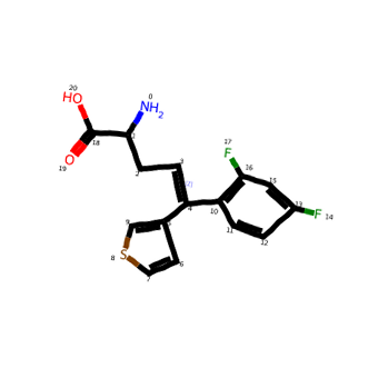 NC(C/C=C(\c1ccsc1)c1ccc(F)cc1F)C(=O)O